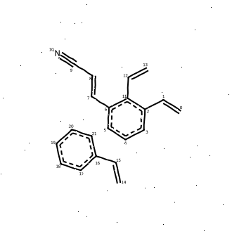 C=Cc1cccc(C=CC#N)c1C=C.C=Cc1ccccc1